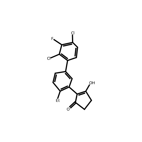 CCc1ccc(-c2ccc(Cl)c(F)c2Cl)cc1C1=C(O)CCC1=O